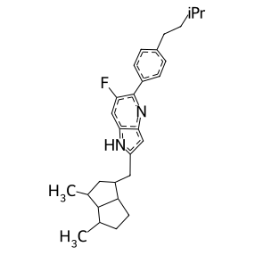 CC(C)CCc1ccc(-c2nc3cc(CC4CC(C)C5C(C)CCC45)[nH]c3cc2F)cc1